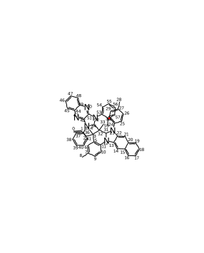 C=CCC1(C)c2cc(C)ccc2N2c3cc4ccccc4cc3N(c3ccc(C)cc3)C2C1(C)C1N(c2ccccc2)c2nc3ccccc3nc2N1c1ccccc1C